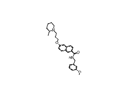 COc1cccc(CNC(=O)c2ccc3cc(OCCCN4CCCCC4C)ccc3c2)c1